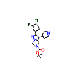 CC(C)(C)OC(=O)N1CCn2nc(-c3ccc(Cl)c(F)c3)c(-c3ccncc3)c2C1